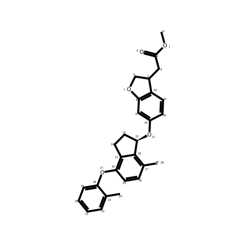 COC(=O)CC1COc2cc(O[C@@H]3CCc4c(Oc5ccccc5C)ccc(F)c43)ccc21